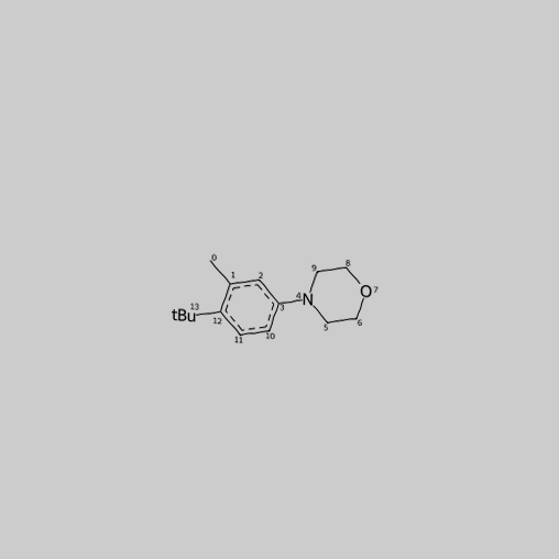 Cc1cc(N2CCOCC2)ccc1C(C)(C)C